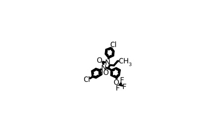 CCCC1N(c2ccc(Cl)cc2)C(=O)N(c2ccc(Cl)cc2)C1(O)c1cccc(OC(F)(F)F)c1